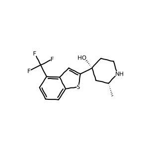 C[C@@H]1C[C@@](O)(c2cc3c(C(F)(F)F)cccc3s2)CCN1